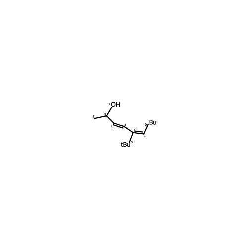 CCC(C)C=C(C=CC(C)O)C(C)(C)C